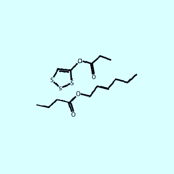 CCC(=O)OC1=CSSS1.CCCCCCOC(=O)CCC